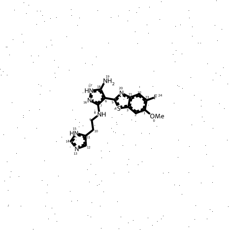 COc1cc2sc(-c3c(NCCc4cnc[nH]4)n[nH]c3N)nc2cc1F